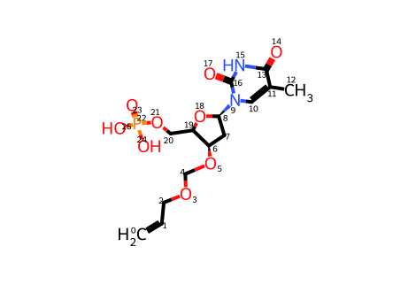 C=CCOCO[C@@H]1C[C@H](n2cc(C)c(=O)[nH]c2=O)OC1COP(=O)(O)O